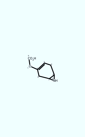 O=C(O)OC1=CCC2NC2C1